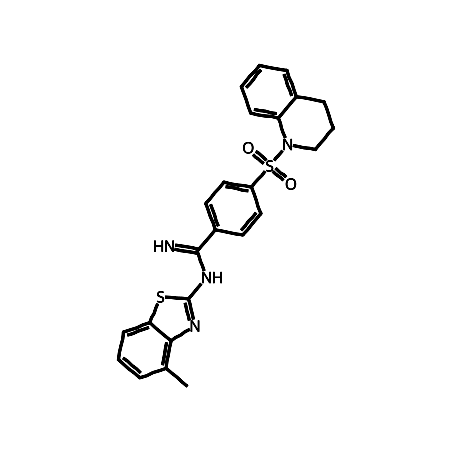 Cc1cccc2sc(NC(=N)c3ccc(S(=O)(=O)N4CCCc5ccccc54)cc3)nc12